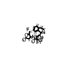 CC(C)C1(C(=O)N[C@H]2CC(=O)OC2CF)CC(c2nccc3ccccc23)=NO1